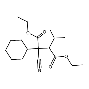 CCOC(=O)C(C(C)C)C(C#N)(C(=O)OCC)C1CCCCC1